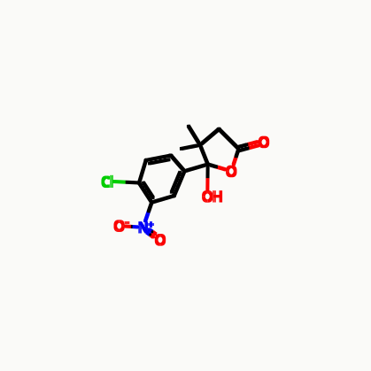 CC1(C)CC(=O)OC1(O)c1ccc(Cl)c([N+](=O)[O-])c1